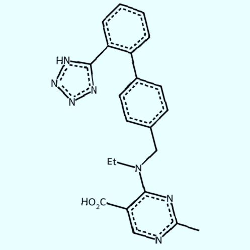 CCN(Cc1ccc(-c2ccccc2-c2nnn[nH]2)cc1)c1nc(C)ncc1C(=O)O